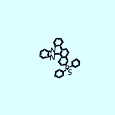 S=P(c1ccccc1)(c1ccccc1)c1ccc2c(ccc3c4ccccc4n4c5ccccc5nc4c23)c1